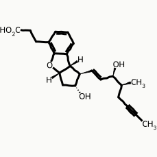 CC#CC[C@H](C)[C@H](O)/C=C/[C@@H]1[C@H]2c3cccc(CCC(=O)O)c3O[C@H]2C[C@H]1O